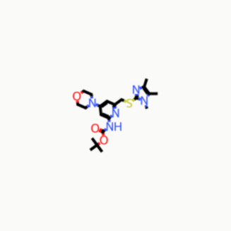 Cc1nc(SCc2cc(N3CCOCC3)cc(NC(=O)OC(C)(C)C)n2)n(C)c1C